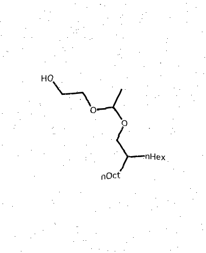 CCCCCCCCC(CCCCCC)COC(C)OCCO